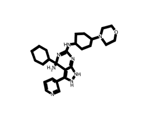 NC1(C2CCCCC2)N=C(NC2CCC(N3CCOCC3)CC2)N=C2NNC(c3cccnc3)=C21